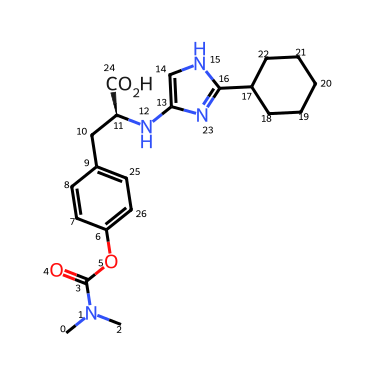 CN(C)C(=O)Oc1ccc(C[C@H](Nc2c[nH]c(C3CCCCC3)n2)C(=O)O)cc1